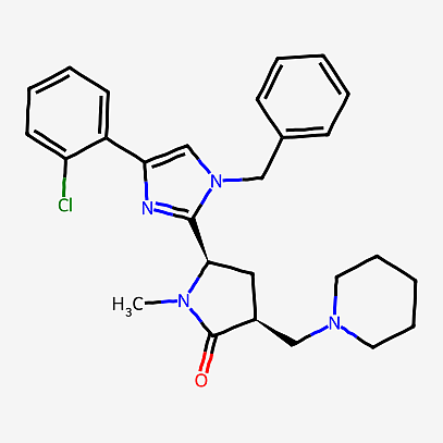 CN1C(=O)[C@H](CN2CCCCC2)C[C@@H]1c1nc(-c2ccccc2Cl)cn1Cc1ccccc1